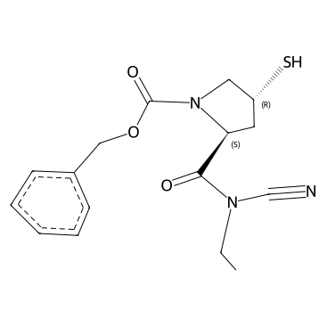 CCN(C#N)C(=O)[C@@H]1C[C@@H](S)CN1C(=O)OCc1ccccc1